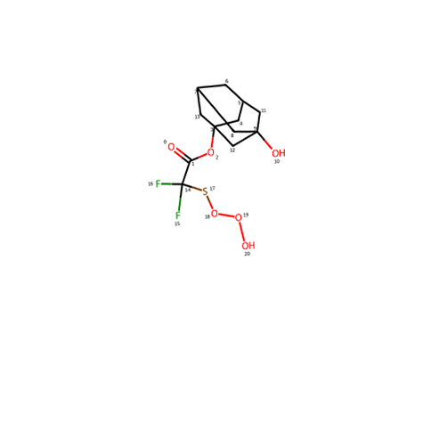 O=C(OC12CC3CC(CC(O)(C3)C1)C2)C(F)(F)SOOO